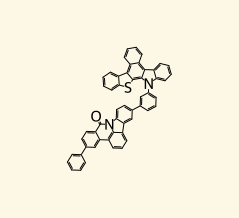 O=c1c2ccc(-c3ccccc3)cc2c2cccc3c4cc(-c5cccc(-n6c7ccccc7c7c8ccccc8c8c9ccccc9sc8c76)c5)ccc4n1c23